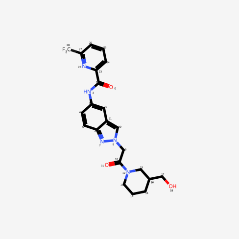 O=C(Nc1ccc2nn(CC(=O)N3CCCC(CO)C3)cc2c1)c1cccc(C(F)(F)F)n1